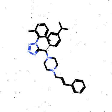 Cc1cccc(C)c1-n1nnnc1[C@H](C1C=CC(C(C)C)=CC1)N1CCN(C/C=C/c2ccccc2)CC1